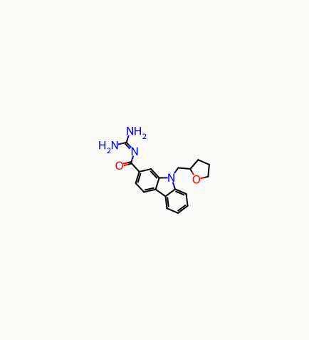 NC(N)=NC(=O)c1ccc2c3ccccc3n(CC3CCCO3)c2c1